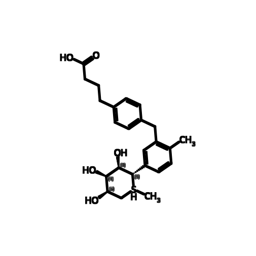 Cc1ccc([C@H]2[C@H](O)[C@H](O)[C@H](O)C[SH]2C)cc1Cc1ccc(CCCC(=O)O)cc1